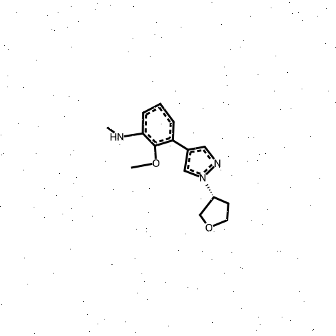 CNc1cccc(-c2cnn([C@@H]3CCOC3)c2)c1OC